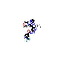 Cc1ncc(NC(=O)c2ccnc(C(F)F)c2)cc1-c1cc(N2CCOCC2)n2nccc2n1